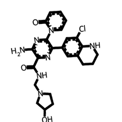 Nc1nc(-n2ccccc2=O)c(-c2cc(Cl)c3c(c2)CCCN3)nc1C(=O)NCN1CCC(O)C1